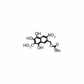 CC(C)(C)C(=O)OCc1cc2c(O)c(C(=O)O)c(O)c(O)c2cc1[N+](=O)[O-]